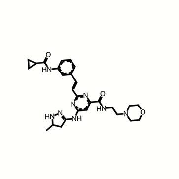 CC1CC(Nc2cc(C(=O)NCCN3CCOCC3)nc(/C=C/c3cccc(NC(=O)C4CC4)c3)n2)=NN1